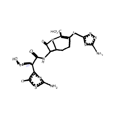 Nc1nnc(SC2=C(C(=O)O)N3C(=O)C(NC(=O)/C(=N\O)c4nc(N)sc4Cl)C3CC2)s1